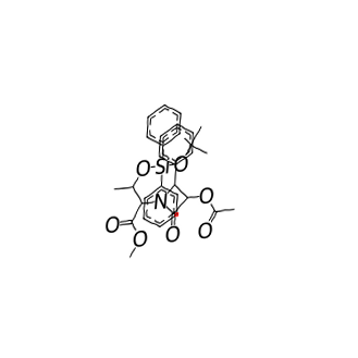 COC(=O)C(C(C)O[Si](OC(C)(C)C)(c1ccccc1)c1ccccc1)N1C(=O)C(OC(C)=O)C1c1ccccc1